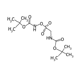 CC(C)(C)OC(=O)NCS(=O)(=O)ONC(=O)OC(C)(C)C